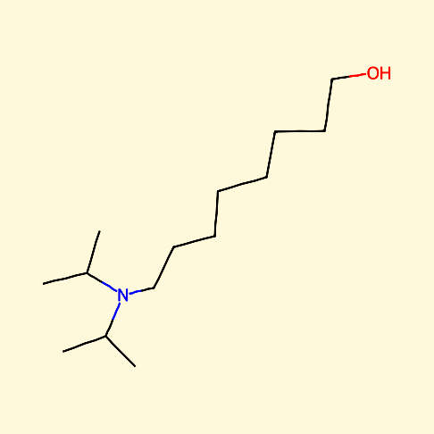 CC(C)N(CCCCCCCCO)C(C)C